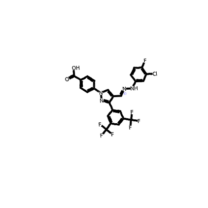 O=C(O)c1ccc(-n2cc(/C=N/Nc3ccc(F)c(Cl)c3)c(-c3cc(C(F)(F)F)cc(C(F)(F)F)c3)n2)cc1